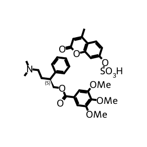 COc1cc(C(=O)OC[C@@H](CCN(C)C)c2ccccc2)cc(OC)c1OC.Cc1cc(=O)oc2cc(OS(=O)(=O)O)ccc12